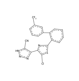 N#Cc1[nH]nnc1-c1nc(-c2ccccc2-c2cccc(C(F)(F)F)c2)sc1Cl